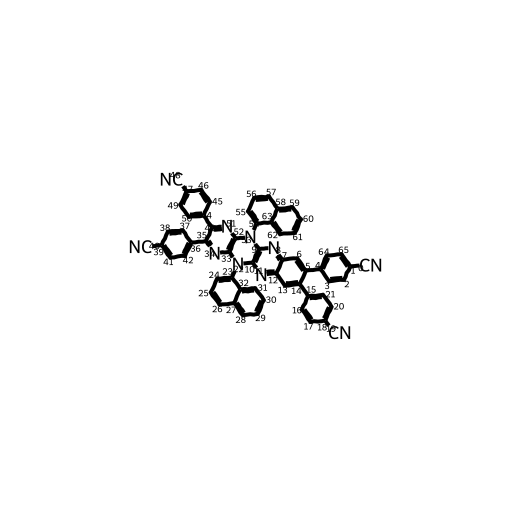 N#Cc1ccc(-c2cc3nc4c(nc3cc2-c2ccc(C#N)cc2)N(c2cccc3ccccc23)c2nc(-c3ccc(C#N)cc3)c(-c3ccc(C#N)cc3)nc2N4c2cccc3ccccc23)cc1